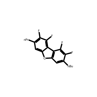 CCCCc1cc2oc3cc(CCC)c(F)c(F)c3c2c(F)c1F